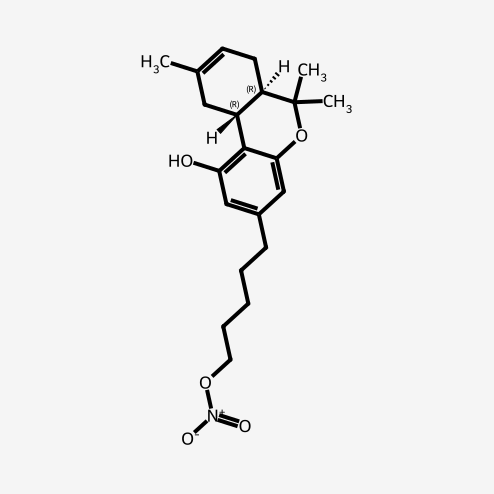 CC1=CC[C@@H]2[C@@H](C1)c1c(O)cc(CCCCCO[N+](=O)[O-])cc1OC2(C)C